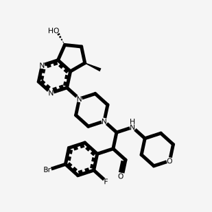 C[C@@H]1C[C@@H](O)c2ncnc(N3CCN(C(NC4CCOCC4)C(C=O)c4ccc(Br)cc4F)CC3)c21